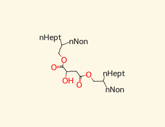 CCCCCCCCCC(CCCCCCC)COC(=O)CC(O)C(=O)OCC(CCCCCCC)CCCCCCCCC